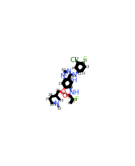 C=C(F)C(=O)Nc1cc2c(Nc3ccc(F)c(Cl)c3)ncnc2cc1OCC1CCCN(C)C1